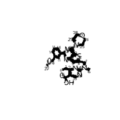 CCc1nc(N(C)Cc2cc3nc(-c4cccc(COC)c4)nc(N4CCOCC4)c3s2)ncc1C(=O)O